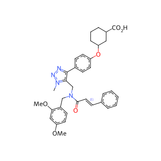 COc1ccc(CN(Cc2c(-c3ccc(OC4CCCC(C(=O)O)C4)cc3)nnn2C)C(=O)/C=C/c2ccccc2)c(OC)c1